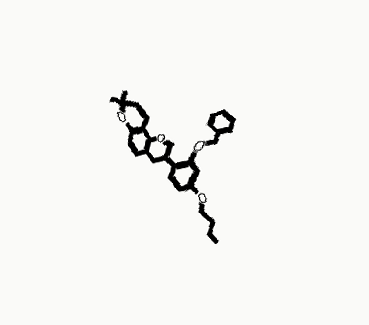 CCCCOc1ccc(C2COc3c(ccc4c3C=CC(C)(C)O4)C2)c(OCc2ccccc2)c1